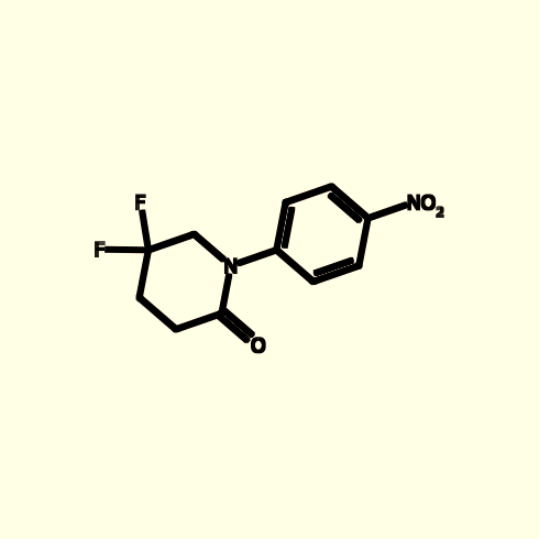 O=C1CCC(F)(F)CN1c1ccc([N+](=O)[O-])cc1